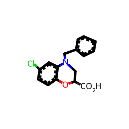 O=C(O)C1CN(Cc2ccccc2)c2cc(Cl)ccc2O1